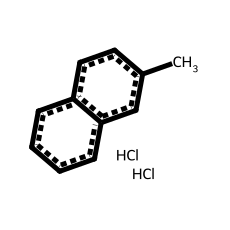 Cc1ccc2ccccc2c1.Cl.Cl